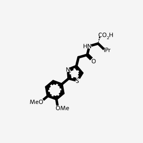 COc1ccc(-c2nc(CC(=O)N[C@H](C(=O)O)C(C)C)cs2)cc1OC